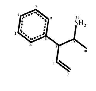 C=CC(c1ccccc1)C(C)N